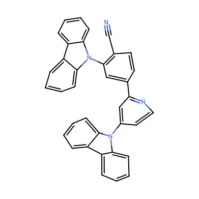 N#Cc1ccc(-c2cc(-n3c4ccccc4c4ccccc43)ccn2)cc1-n1c2ccccc2c2ccccc21